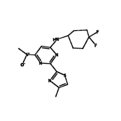 Cc1csc(-c2nc(NC3CCC(F)(F)CC3)cc([S+](C)[O-])n2)n1